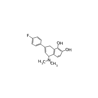 CN(C)C1C=C(c2ccc(F)cc2)Cc2c1ccc(O)c2O